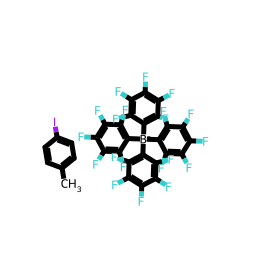 Cc1ccc(I)cc1.Fc1c(F)c(F)c([B-](c2c(F)c(F)c(F)c(F)c2F)(c2c(F)c(F)c(F)c(F)c2F)c2c(F)c(F)c(F)c(F)c2F)c(F)c1F